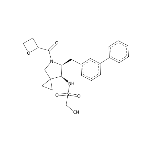 N#CCS(=O)(=O)N[C@@H]1[C@H](Cc2cccc(-c3ccccc3)c2)N(C(=O)C2CCO2)CC12CC2